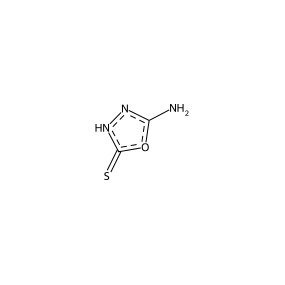 Nc1n[nH]c(=S)o1